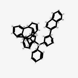 c1cccc(N(c2cccc(-c3ccc4ccccc4c3)c2)c2ccc3c(c2)C2=C4C=CCC2c2cccc-3c2C2C=CC=CC42)c#1